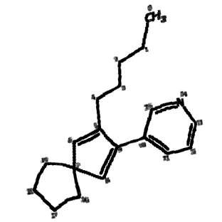 CCCCCC1=CC2(C=C1c1cccnc1)CCCC2